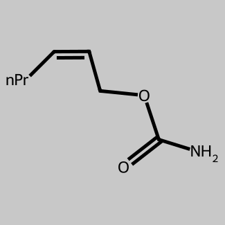 CCC/C=C\COC(N)=O